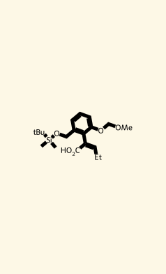 CCC=C(C(=O)O)c1c(CO[Si](C)(C)C(C)(C)C)cccc1OCOC